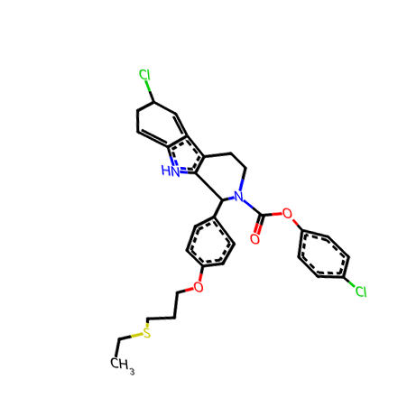 CCSCCCOc1ccc(C2c3[nH]c4c(c3CCN2C(=O)Oc2ccc(Cl)cc2)=CC(Cl)CC=4)cc1